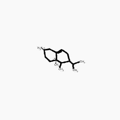 CC(C)C1CC=C2C[C@@H](N)CC[C@]2(C)C1C